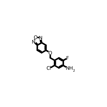 Nc1cc(Cl)c(COc2ccc3nonc3c2)cc1F